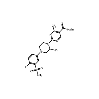 CNC(=O)c1cnc(N2CCN(c3ccc(F)c(S(C)(=O)=O)c3)CC2C(C)C)nc1C(F)(F)F